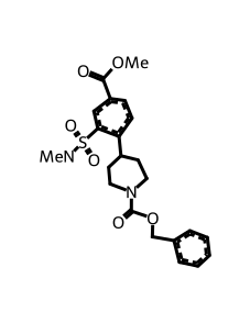 CNS(=O)(=O)c1cc(C(=O)OC)ccc1C1CCN(C(=O)OCc2ccccc2)CC1